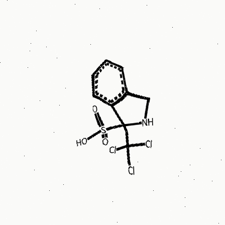 O=S(=O)(O)C1(C(Cl)(Cl)Cl)NCc2ccccc21